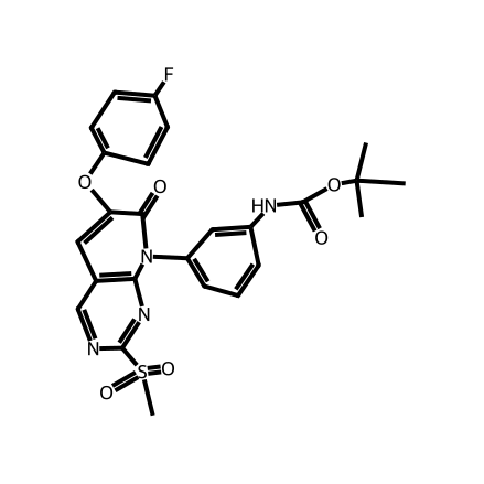 CC(C)(C)OC(=O)Nc1cccc(-n2c(=O)c(Oc3ccc(F)cc3)cc3cnc(S(C)(=O)=O)nc32)c1